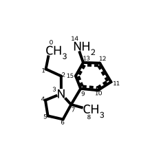 CCCN1CCCC1(C)c1cccc(N)c1